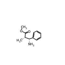 COC(=O)[C@@H](C)[C@@H](N)c1ccccc1